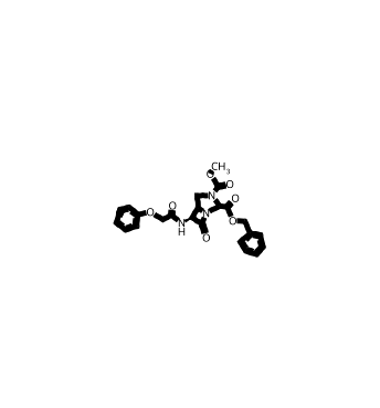 COC(=O)N1CC2[C@H](NC(=O)COc3ccccc3)C(=O)N2C1C(=O)OCc1ccccc1